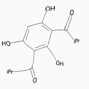 CC(C)C(=O)c1c(O)cc(O)c(C(=O)C(C)C)c1O